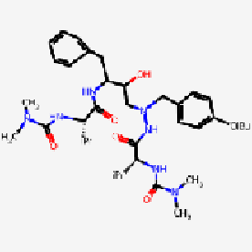 CC(C)COc1ccc(CN(CC(O)C(Cc2ccccc2)NC(=O)[C@@H](NC(=O)N(C)C)C(C)C)NC(=O)[C@@H](NC(=O)N(C)C)C(C)C)cc1